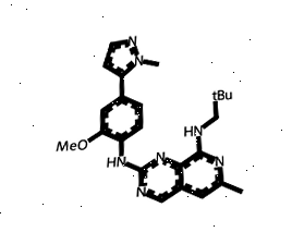 COc1cc(-c2ccnn2C)ccc1Nc1ncc2cc(C)nc(NCC(C)(C)C)c2n1